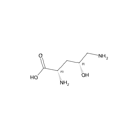 NC[C@H](O)C[C@H](N)C(=O)O